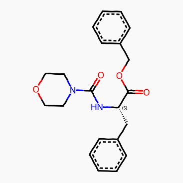 O=C(OCc1ccccc1)[C@H](Cc1ccccc1)NC(=O)N1CCOCC1